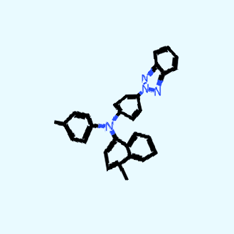 Cc1ccc(N(c2ccc(-n3nc4ccccc4n3)cc2)c2ccc(C)c3ccccc23)cc1